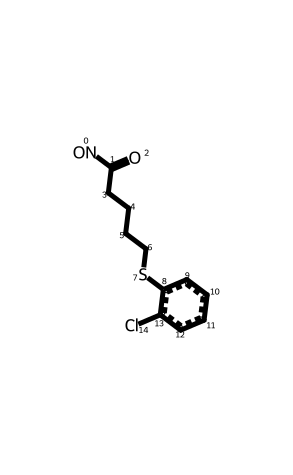 O=NC(=O)CCCCSc1ccccc1Cl